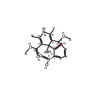 BC1(c2ccccc2[N+](=O)[O-])C(C(=O)OC)=C(C)NC(C)=C1C(=O)OC